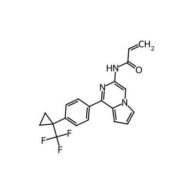 C=CC(=O)Nc1cn2cccc2c(-c2ccc(C3(C(F)(F)F)CC3)cc2)n1